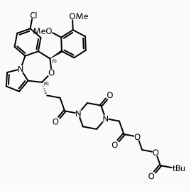 COc1cccc([C@H]2O[C@H](CCC(=O)N3CCN(CC(=O)OCOC(=O)C(C)(C)C)C(=O)C3)c3cccn3-c3ccc(Cl)cc32)c1OC